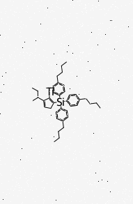 CCCCc1ccc([Si](C2=[C]([Ti])C(C(C)CC)=CC2)(c2ccc(CCCC)cc2)c2ccc(CCCC)cc2)cc1